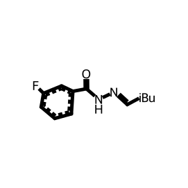 CCC(C)/C=N/NC(=O)c1cccc(F)c1